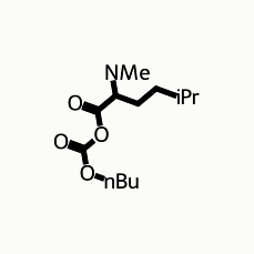 CCCCOC(=O)OC(=O)C(CCC(C)C)NC